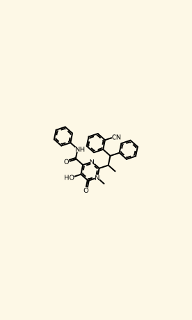 CC(c1nc(C(=O)Nc2ccccc2)c(O)c(=O)n1C)C(c1ccccc1)c1ccccc1C#N